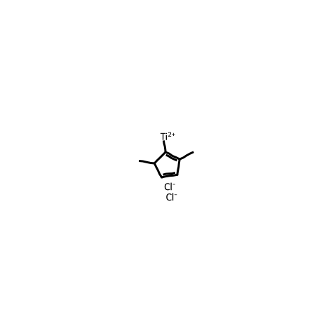 CC1=[C]([Ti+2])C(C)C=C1.[Cl-].[Cl-]